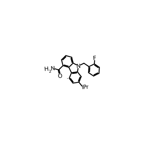 CC(C)c1c[c]c2c3c(C(N)=O)cccc3n(Cc3ccccc3F)c2c1